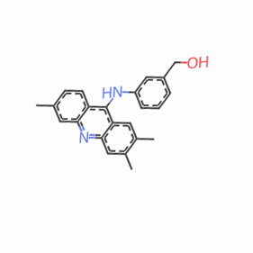 Cc1ccc2c(Nc3cccc(CO)c3)c3cc(C)c(C)cc3nc2c1